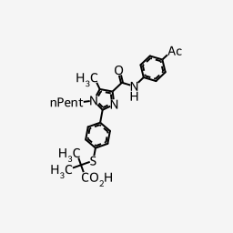 CCCCCn1c(-c2ccc(SC(C)(C)C(=O)O)cc2)nc(C(=O)Nc2ccc(C(C)=O)cc2)c1C